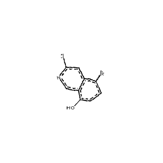 Oc1ccc(Br)c2cc(Cl)ncc12